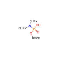 CCCCCCOP(=O)(O)N(CCCCCC)CCCCCC